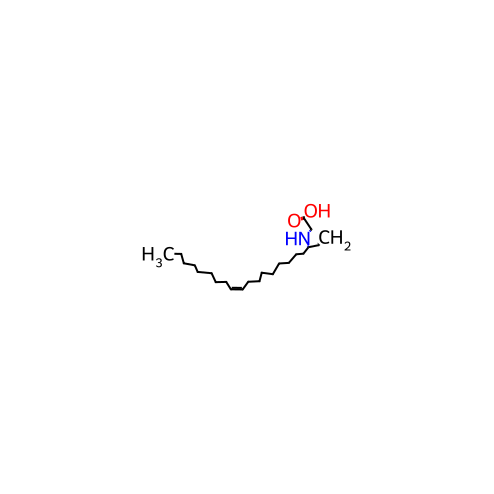 C=CC(CCCCCCCC/C=C\CCCCCCCC)NCC(=O)O